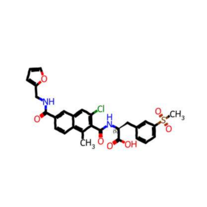 Cc1c(C(=O)N[C@@H](Cc2cccc(S(C)(=O)=O)c2)C(=O)O)c(Cl)cc2cc(C(=O)NCc3ccco3)ccc12